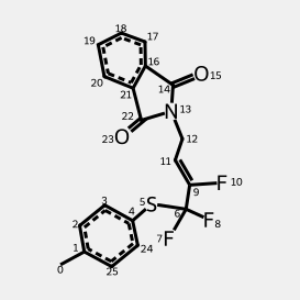 Cc1ccc(SC(F)(F)C(F)=CCN2C(=O)c3ccccc3C2=O)cc1